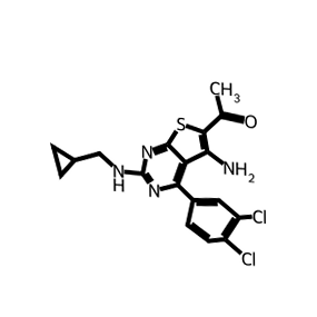 CC(=O)c1sc2nc(NCC3CC3)nc(-c3ccc(Cl)c(Cl)c3)c2c1N